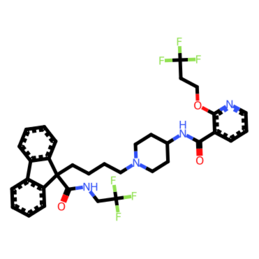 O=C(NC1CCN(CCCCC2(C(=O)NCC(F)(F)F)c3ccccc3-c3ccccc32)CC1)c1cccnc1OCCC(F)(F)F